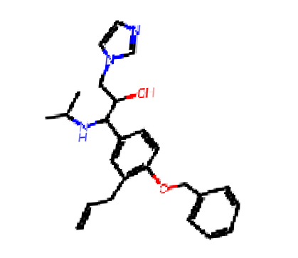 C=CCc1cc(C(NC(C)C)C(O)Cn2ccnc2)ccc1OCc1ccccc1